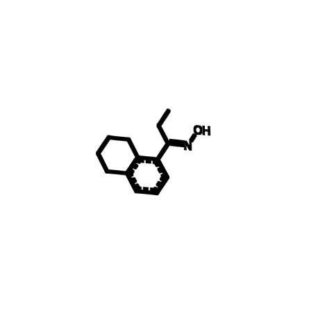 CC/C(=N\O)c1cccc2c1CCCC2